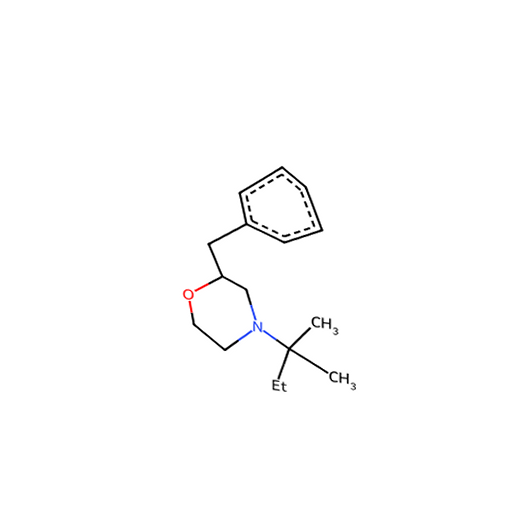 CCC(C)(C)N1CCOC(Cc2ccccc2)C1